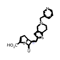 O=C(O)C1=CCC2/C(=C\c3cc4c(s3)CCN(Cc3cccnc3)C4)C(=O)N12